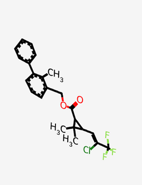 Cc1c(COC(=O)C2C(C=C(Cl)C(F)(F)F)C2(C)C)cccc1-c1ccccc1